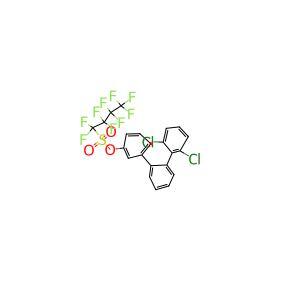 O=S(=O)(Oc1cccc(-c2ccccc2-c2c(Cl)cccc2Cl)c1)C(F)(F)C(F)(F)C(F)(F)C(F)(F)F